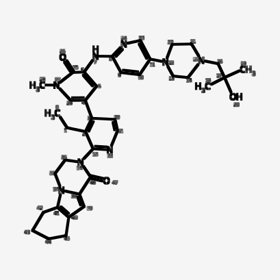 CCc1c(-c2cc(Nc3ccc(N4CCN(CC(C)(C)O)CC4)cn3)c(=O)n(C)c2)ccnc1N1CCn2c(cc3c2CCCC3)C1=O